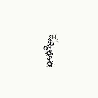 CCOC(=O)CCC(=O)c1ccc(CCc2ccccc2)cc1